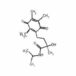 CC1=C(C)C(=O)C(CCC(C)(O)C(=O)NC(C)C)=C(C)C1=O